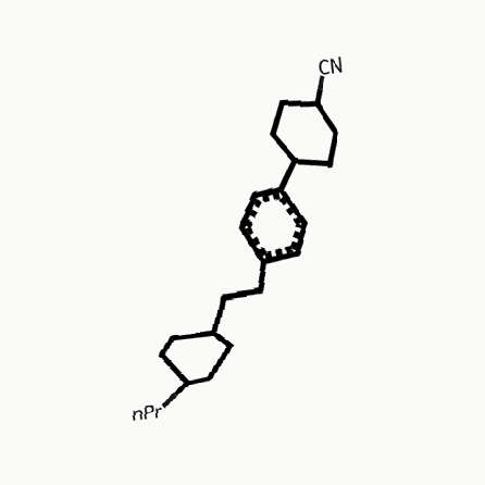 CCCC1CCC(CCc2ccc(C3CCC(C#N)CC3)cc2)CC1